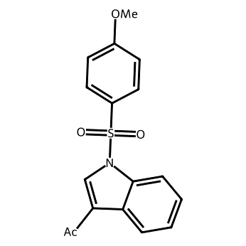 COc1ccc(S(=O)(=O)n2cc(C(C)=O)c3ccccc32)cc1